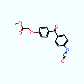 COC(=O)COc1ccc(C(=O)c2ccc(N=C=O)cc2)cc1